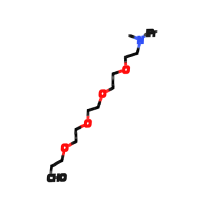 CC(C)N(C)CCOCCOCCOCCOCCC=O